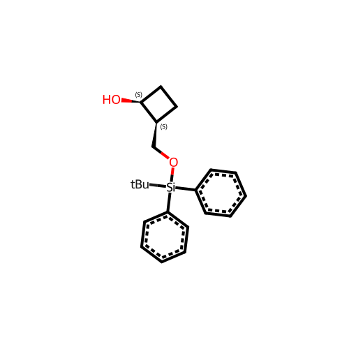 CC(C)(C)[Si](OC[C@@H]1CC[C@@H]1O)(c1ccccc1)c1ccccc1